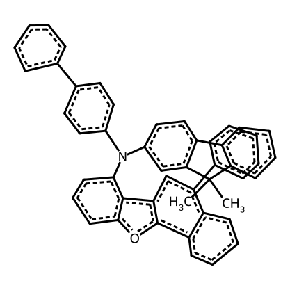 CC1(C)c2ccccc2-c2ccc(N(c3ccc(-c4ccccc4)cc3)c3cccc4oc5c6ccccc6c(-c6ccccc6)cc5c34)cc21